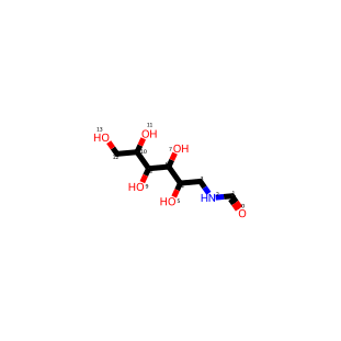 O=[C]NCC(O)C(O)C(O)C(O)CO